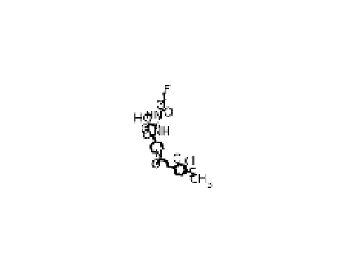 CSc1ccc(C=CC(=O)N2CCC(C(=O)N[C@@H](CNC(=O)OCCF)C(=O)O)CC2)c(Cl)c1Cl